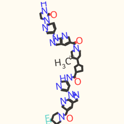 C[C@@H]1CN(C(=O)c2cnc3c(cnn3-c3ccc(N4CCNC4=O)nc3)c2)CCC1C1CCC(C(=O)Nc2cncc(-n3ncc4cc(C(=O)N5CCC(F)(F)CC5)cnc43)c2)C1